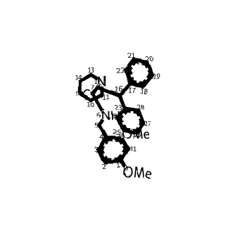 COc1ccc(CNC2CC3CCN(CC3)C2C(c2ccccc2)c2ccccc2)c(OC)c1